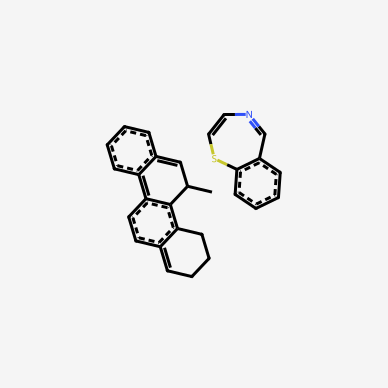 C1=CSc2ccccc2C=N1.CC1C=c2ccccc2=c2ccc3c(c21)CCCC=3